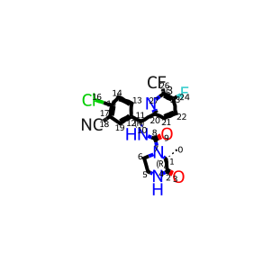 C[C@@H]1C(=O)NCCN1C(=O)N[C@H](c1ccc(Cl)c(C#N)c1)c1ccc(F)c(C(F)(F)F)n1